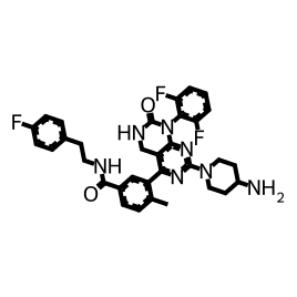 Cc1ccc(C(=O)NCCc2ccc(F)cc2)cc1-c1nc(N2CCC(N)CC2)nc2c1CNC(=O)N2c1c(F)cccc1F